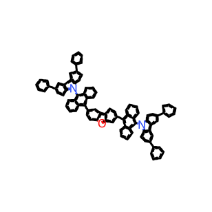 c1ccc(-c2ccc3c(c2)c2cc(-c4ccccc4)ccc2n3-c2c3ccccc3c(-c3ccc4c(c3)oc3ccc(-c5c6ccccc6c(-n6c7ccc(-c8ccccc8)cc7c7cc(-c8ccccc8)ccc76)c6ccccc56)cc34)c3ccccc23)cc1